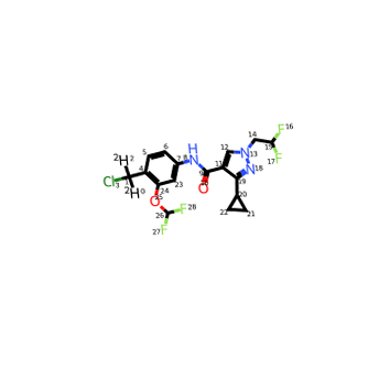 [2H]C([2H])(Cl)c1ccc(NC(=O)c2cn(CC(F)F)nc2C2CC2)cc1OC(F)F